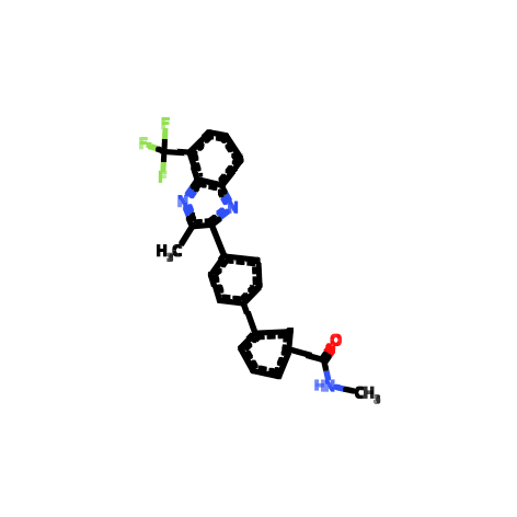 CNC(=O)c1cccc(-c2ccc(-c3nc4cccc(C(F)(F)F)c4nc3C)cc2)c1